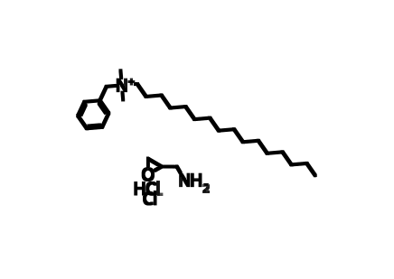 CCCCCCCCCCCCCCCC[N+](C)(C)Cc1ccccc1.Cl.NCC1CO1.[Cl-]